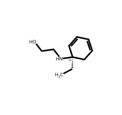 CC[C@]1(NCCO)C=CC=CC1